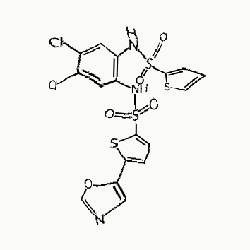 O=S(=O)(Nc1cc(Cl)c(Cl)cc1NS(=O)(=O)c1ccc(-c2cnco2)s1)c1cccs1